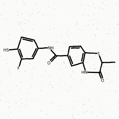 CC1Sc2ccc(C(=O)Nc3ccc(S)c(F)c3)cc2NC1=O